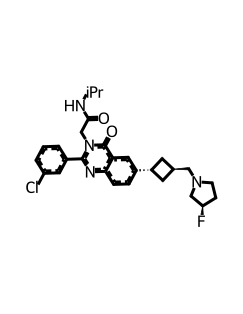 CC(C)NC(=O)Cn1c(-c2cccc(Cl)c2)nc2ccc([C@H]3C[C@H](CN4CC[C@@H](F)C4)C3)cc2c1=O